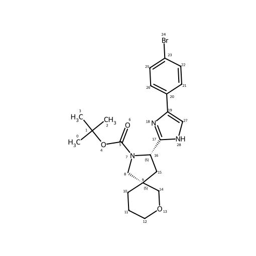 CC(C)(C)OC(=O)N1C[C@]2(CCCOC2)C[C@H]1c1nc(-c2ccc(Br)cc2)c[nH]1